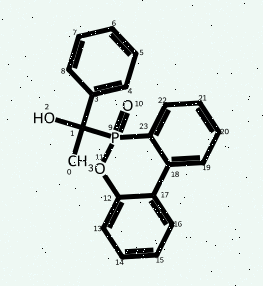 CC(O)(c1ccccc1)P1(=O)Oc2ccccc2-c2ccccc21